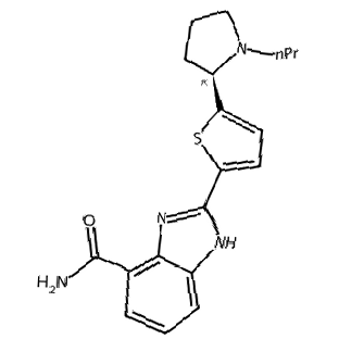 CCCN1CCC[C@@H]1c1ccc(-c2nc3c(C(N)=O)cccc3[nH]2)s1